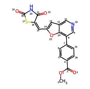 COC(=O)c1ccc(-c2cncc3cc(C=C4SC(=O)NC4=O)oc23)cc1